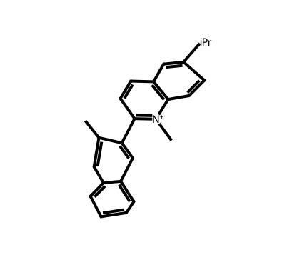 Cc1cc2ccccc2cc1-c1ccc2cc(C(C)C)ccc2[n+]1C